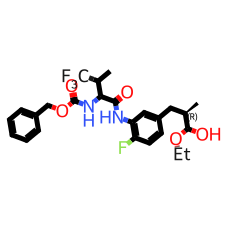 CCOC(O)[C@H](C)Cc1ccc(F)c(NC(=O)C(NC(=O)OCc2ccccc2)C(C)C(F)(F)F)c1